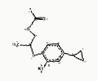 CCC(=O)OCC(C)Oc1ccc(C2CC2)cc1C